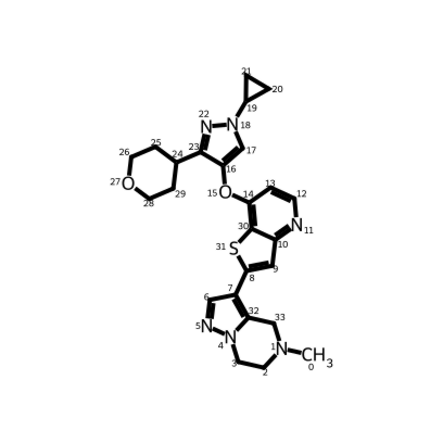 CN1CCn2ncc(-c3cc4nccc(Oc5cn(C6CC6)nc5C5CCOCC5)c4s3)c2C1